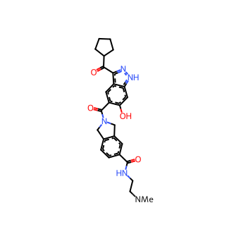 CNCCNC(=O)c1ccc2c(c1)CN(C(=O)c1cc3c(C(=O)C4CCCC4)n[nH]c3cc1O)C2